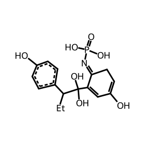 CCC(c1ccc(O)cc1)C(O)(O)C1=CC(O)=CCC1=NP(=O)(O)O